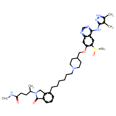 Cc1[nH]nc(Nc2ncnc3cc(OCC4CCN(CCCCCCc5cccc6c5CN(C(C)CCC(=O)NC=O)C6=O)CC4)c([S+]([O-])C(C)(C)C)cc23)c1C